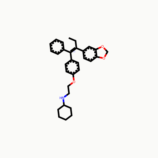 CC/C(=C(\c1ccccc1)c1ccc(OCCNC2CCCCC2)cc1)c1ccc2c(c1)OCO2